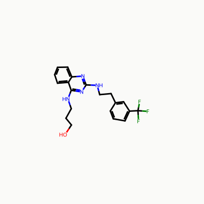 OCCCNc1nc(NCCc2cccc(C(F)(F)F)c2)nc2ccccc12